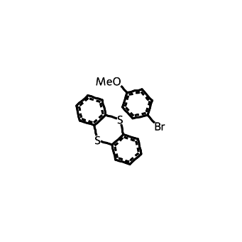 COc1ccc(Br)cc1.c1ccc2c(c1)Sc1ccccc1S2